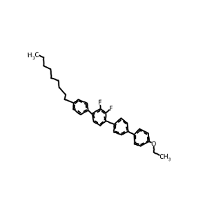 CCCCCCCCCc1ccc(-c2ccc(-c3ccc(-c4ccc(OCC)cc4)cc3)c(F)c2F)cc1